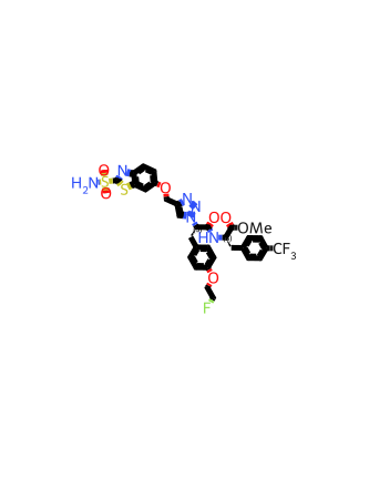 COC(=O)[C@H](Cc1ccc(C(F)(F)F)cc1)NC(=O)[C@H](Cc1ccc(OCCF)cc1)n1cc(COc2ccc3nc(S(N)(=O)=O)sc3c2)nn1